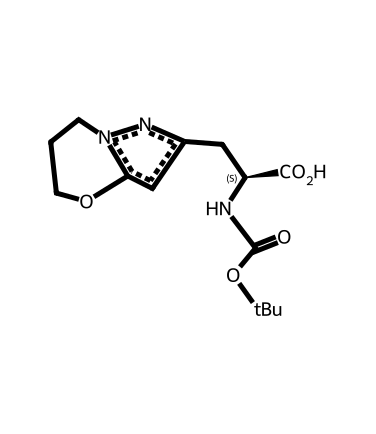 CC(C)(C)OC(=O)N[C@@H](Cc1cc2n(n1)CCCO2)C(=O)O